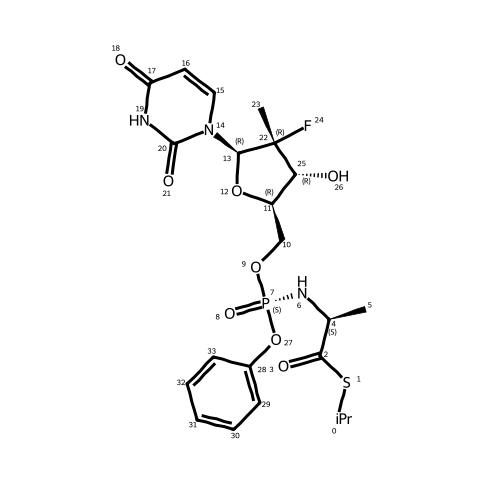 CC(C)SC(=O)[C@H](C)N[P@](=O)(OC[C@H]1O[C@@H](n2ccc(=O)[nH]c2=O)[C@](C)(F)[C@@H]1O)Oc1ccccc1